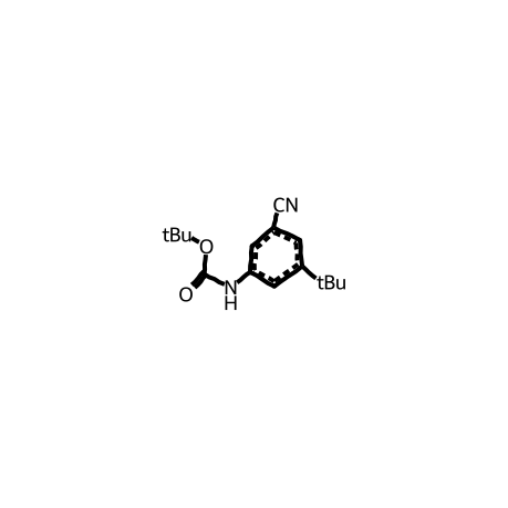 CC(C)(C)OC(=O)Nc1cc(C#N)cc(C(C)(C)C)c1